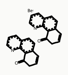 O=C1CC=Cc2ccc3cccnc3c21.O=C1CC=Cc2ccc3cccnc3c21.[Be]